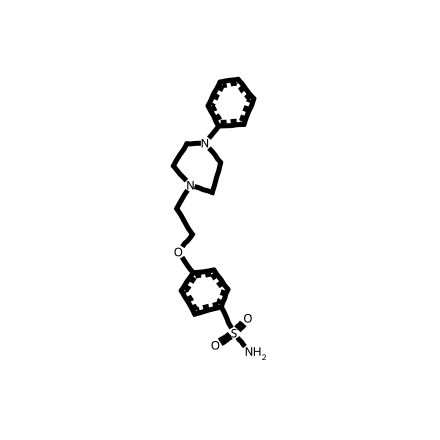 NS(=O)(=O)c1ccc(OCCN2CCN(c3ccccc3)CC2)cc1